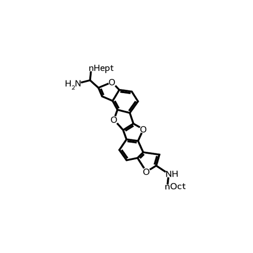 CCCCCCCCNc1cc2c(ccc3c2oc2c4ccc5oc(C(N)CCCCCCC)cc5c4oc32)o1